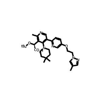 Cc1cnn(CCOc2ccc(-c3cnc(C)c([C@H](OC(C)(C)C)C(=O)O)c3N3CCC(C)(C)CC3)nc2)c1